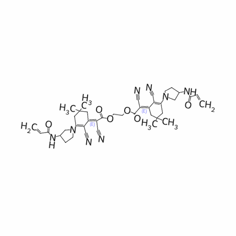 C=CC(=O)NC1CCN(C2=C(C#N)/C(=C(\C#N)C(=O)OCCOC(=O)/C(C#N)=C3\CC(C)(C)CC(N4CCC(NC(=O)C=C)C4)=C3C#N)CC(C)(C)C2)C1